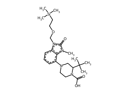 Cn1c(=O)n(COCC[Si](C)(C)C)c2cccc(N3CCN(C(=O)O)C(C(C)(C)C)C3)c21